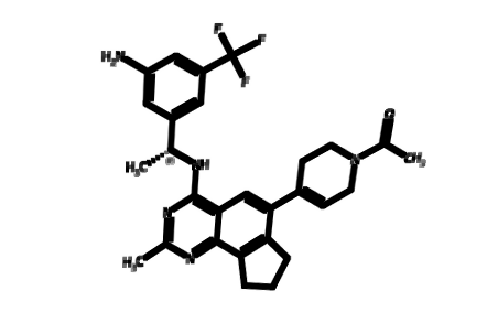 CC(=O)N1CC=C(c2cc3c(N[C@H](C)c4cc(N)cc(C(F)(F)F)c4)nc(C)nc3c3c2CCC3)CC1